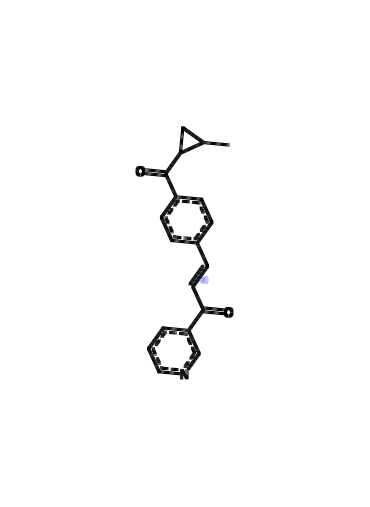 CC1CC1C(=O)c1ccc(/C=C/C(=O)c2cccnc2)cc1